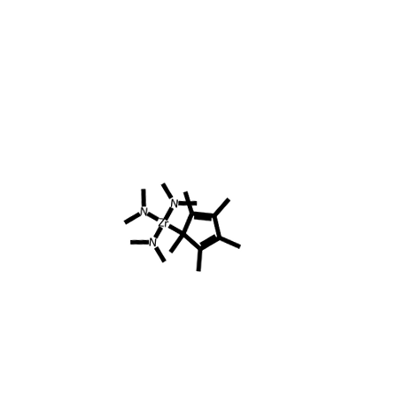 CC1=C(C)[C](C)([Zr]([N](C)C)([N](C)C)[N](C)C)C(C)=C1C